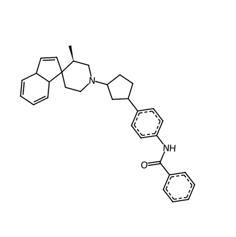 C[C@H]1CN(C2CCC(c3ccc(NC(=O)c4ccccc4)cc3)C2)CCC12C=CC1C=CC=CC12